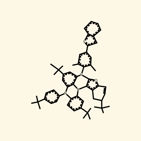 Cc1cc(-c2cc3ccccc3s2)cc(C)c1N1c2cc(C(C)(C)C)cc3c2B(c2cc(C(C)(C)C)ccc2N3c2ccc(C(C)(C)C)cc2)c2c1oc1c2CC(C(C)(C)C)C=C1